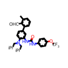 Cc1cccc(-c2ccc(N(CC(C)C)CC(C)C)c(NC(=O)Nc3ccc(OC(F)(F)F)cc3)c2)c1C=O